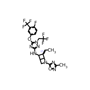 C/C=C1/C(Nc2nc(Oc3ccc(F)c(C(F)(F)F)c3)n(CC(F)(F)F)n2)C2CN(c3nc(C)no3)C12